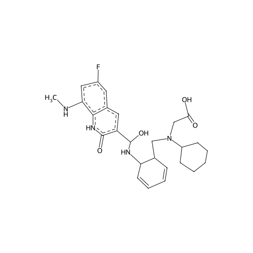 CNc1cc(F)cc2cc(C(O)NC3C=CC=CC3CN(CC(=O)O)C3CCCCC3)c(=O)[nH]c12